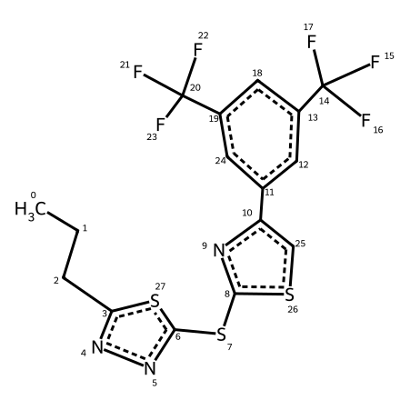 CCCc1nnc(Sc2nc(-c3cc(C(F)(F)F)cc(C(F)(F)F)c3)cs2)s1